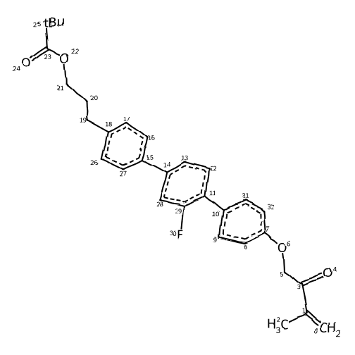 C=C(C)C(=O)COc1ccc(-c2ccc(-c3ccc(CCCOC(=O)C(C)(C)C)cc3)cc2F)cc1